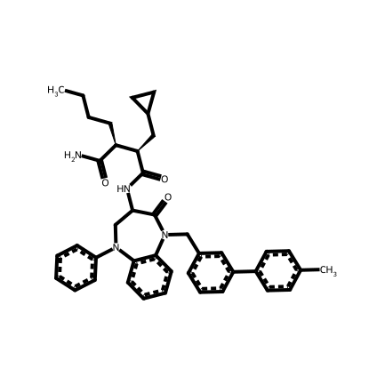 CCCC[C@H](C(N)=O)[C@@H](CC1CC1)C(=O)NC1CN(c2ccccc2)c2ccccc2N(Cc2cccc(-c3ccc(C)cc3)c2)C1=O